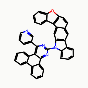 c1cncc(-c2nc(-n3c4ccccc4c4cc5ccc6oc7ccccc7c6c5cc43)nc3c4ccccc4c4ccccc4c23)c1